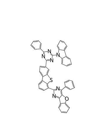 c1ccc(-c2nc(-c3ccc4c(c3)sc3c(-c5nc(-c6ccccc6)c6oc7ccccc7c6n5)cccc34)nc(-n3c4ccccc4c4ccccc43)n2)cc1